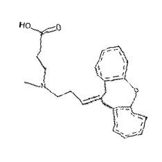 CN(CCC=C1c2ccccc2Oc2ccccc21)CCC(=O)O